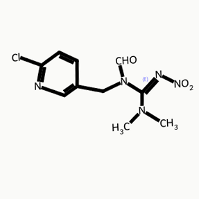 CN(C)/C(=N\[N+](=O)[O-])N(C=O)Cc1ccc(Cl)nc1